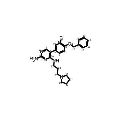 Nc1ncc(-c2ccc(OCc3ccccc3)c(Cl)c2)c(NCCCN2CCCC2)n1